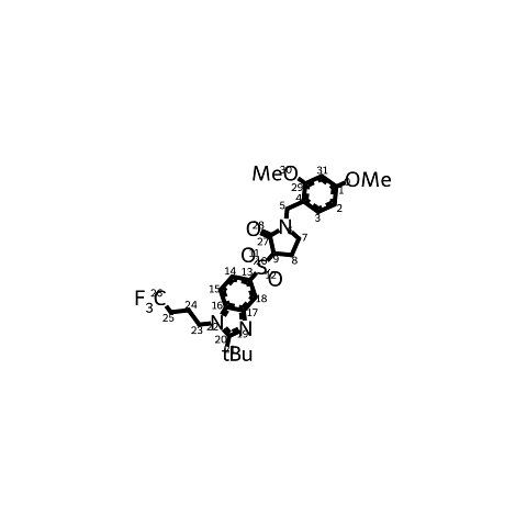 COc1ccc(CN2CCC(S(=O)(=O)c3ccc4c(c3)nc(C(C)(C)C)n4CCCC(F)(F)F)C2=O)c(OC)c1